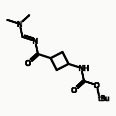 CN(C)/C=N/C(=O)C1CC(NC(=O)OC(C)(C)C)C1